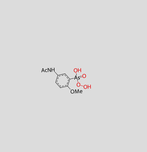 COc1ccc(NC(C)=O)cc1[As](=O)(O)OO